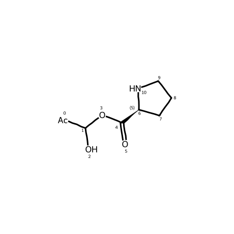 CC(=O)C(O)OC(=O)[C@@H]1CCCN1